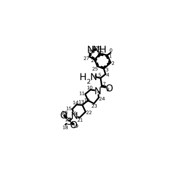 Cc1cc(CC(N)C(=O)N2CCC(C3CCN(S(C)(=O)=O)CC3)CC2)cc2cn[nH]c12